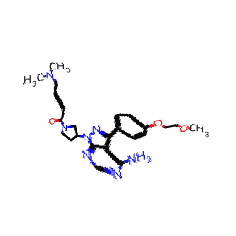 COCCOc1ccc(-c2nn(C3CCN(C(=O)C=CCN(C)C)C3)c3ncnc(N)c23)cc1